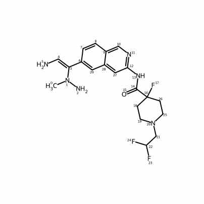 CN(N)/C(=C\N)c1ccc2cnc(NC(=O)C3(F)CCN(CC(F)F)CC3)cc2c1